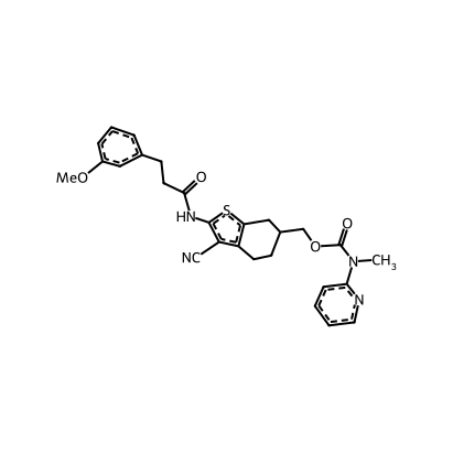 COc1cccc(CCC(=O)Nc2sc3c(c2C#N)CCC(COC(=O)N(C)c2ccccn2)C3)c1